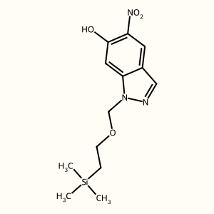 C[Si](C)(C)CCOCn1ncc2cc([N+](=O)[O-])c(O)cc21